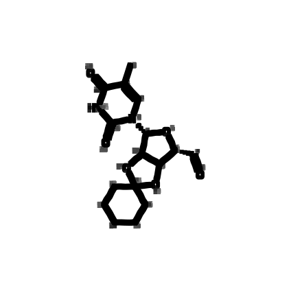 Cc1cn([C@@H]2O[C@H](C=O)C3OC4(CCCCC4)OC32)c(=O)[nH]c1=O